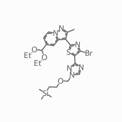 CCOC(OCC)c1ccn2nc(C)c(-c3nc(Br)c(-c4ncn(COCC[Si](C)(C)C)n4)s3)c2c1